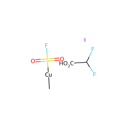 O=C(O)C(F)F.[CH3][Cu][S](=O)(=O)F.[I]